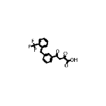 O=C(O)C(=O)CC(=O)c1cccc(Cc2ccccc2C(F)(F)F)c1